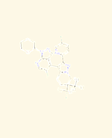 [2H]C([2H])([2H])C1(C([2H])([2H])F)CCc2c(-c3c(F)cnc4c3cnn4C3CCCCO3)c(-c3ccc(F)cn3)nn2C1